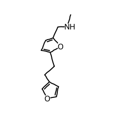 CNCc1ccc(CCc2ccoc2)o1